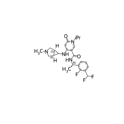 CC(C)n1cc(C(=O)N[C@H](C)c2cccc(C(F)F)c2F)c(NC2[C@H]3CN(C)C[C@@H]23)cc1=O